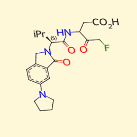 CC(C)[C@@H](C(=O)NC(CC(=O)O)C(=O)CF)N1Cc2ccc(N3CCCC3)cc2C1=O